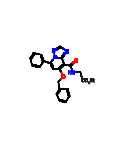 CCOC(=O)CNC(=O)c1c(OCc2ccccc2)cc(-c2ccccc2)n2ncnc12